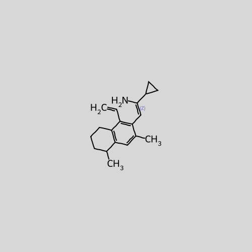 C=Cc1c(/C=C(\N)C2CC2)c(C)cc2c1CCCC2C